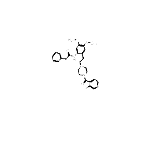 COc1cc(CCN2CCN(c3nsc4ccccc34)CC2)c(NC(=O)Cc2ccccc2)cc1OC